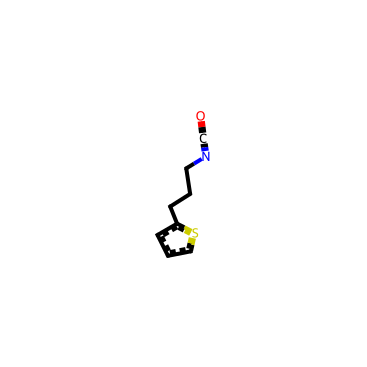 O=C=NCCCc1cccs1